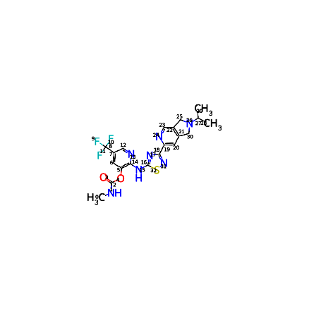 CNC(=O)Oc1cc(C(F)(F)F)cnc1Nc1nc(-c2cc3c(cn2)CN(C(C)C)C3)ns1